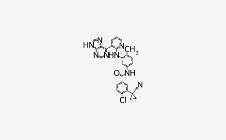 Cc1ccc(NC(=O)c2ccc(Cl)c(C3(C#N)CC3)c2)cc1Nc1ncccc1-c1ncnc2[nH]cnc12